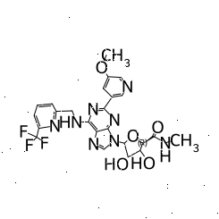 CNC(=O)[C@@H]1OC(n2cnc3c(NCc4cccc(C(F)(F)F)n4)nc(-c4cncc(OC)c4)nc32)C(O)C1O